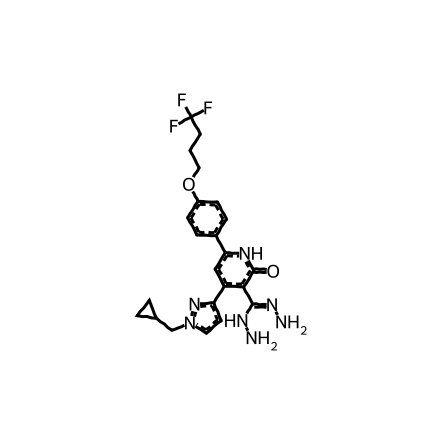 N/N=C(\NN)c1c(-c2ccn(CC3CC3)n2)cc(-c2ccc(OCCCC(F)(F)F)cc2)[nH]c1=O